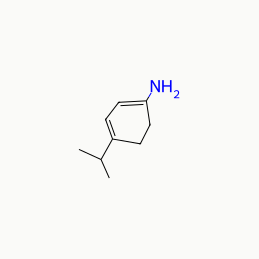 CC(C)C1=CC=C(N)CC1